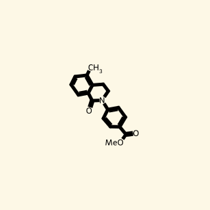 COC(=O)c1ccc(N2CCc3c(C)cccc3C2=O)cc1